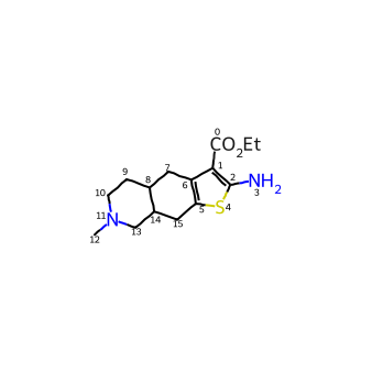 CCOC(=O)c1c(N)sc2c1CC1CCN(C)CC1C2